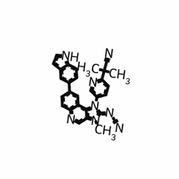 Cn1c(=NC#N)n(-c2ccc(C(C)(C)C#N)nc2)c2c3cc(-c4ccc5[nH]ccc5c4)ccc3ncc21